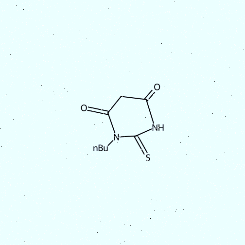 CCCCN1C(=O)CC(=O)NC1=S